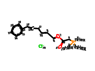 CCCCCC[P+](CCCCCC)(CCCCCC)CC(=O)OCCCCCCc1ccccc1.[Cl-]